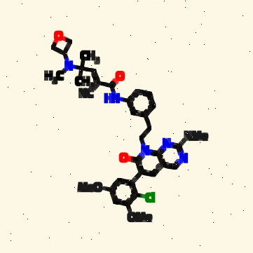 CNc1ncc2cc(-c3cc(OC)cc(OC)c3Cl)c(=O)n(CCc3cccc(NC(=O)/C(C#N)=C/C(C)(C)N(C)C4COC4)c3)c2n1